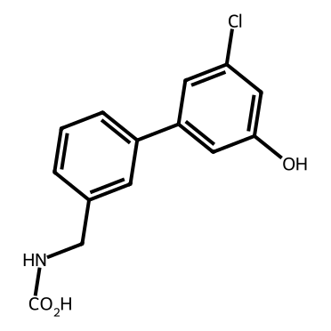 O=C(O)NCc1cccc(-c2cc(O)cc(Cl)c2)c1